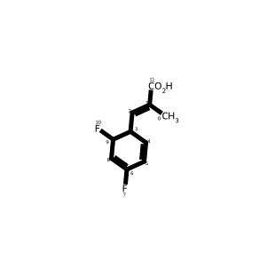 CC(=CC1C=CC(F)=CC1F)C(=O)O